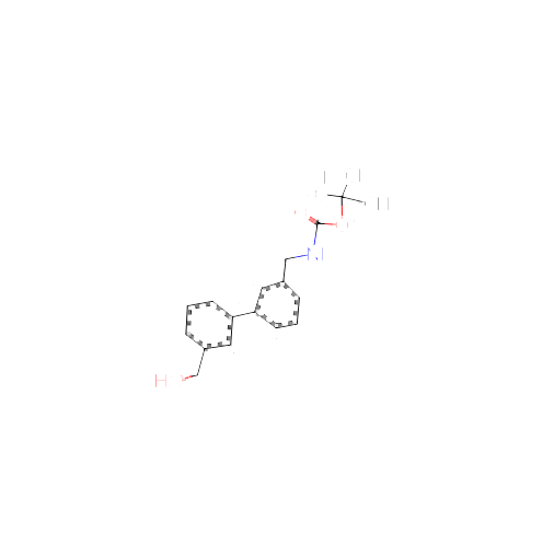 CC(C)(C)OC(=O)NCc1cccc(-c2cccc(CO)c2)c1